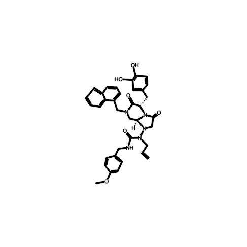 C=CCN(C(=O)NCc1ccc(OC)cc1)N1CC(=O)N2[C@@H](Cc3ccc(O)c(O)c3)C(=O)N(Cc3cccc4ccccc34)C[C@@H]21